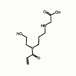 C=CC(=O)N(CCO)CCCNCC(=O)O